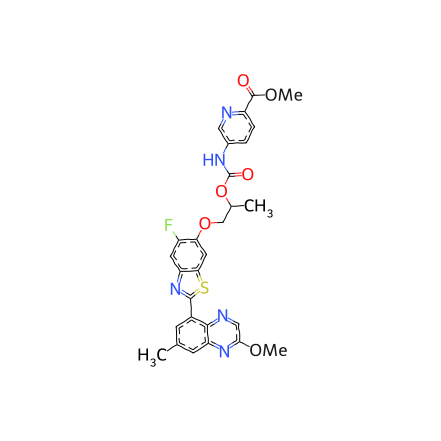 COC(=O)c1ccc(NC(=O)OC(C)COc2cc3sc(-c4cc(C)cc5nc(OC)cnc45)nc3cc2F)cn1